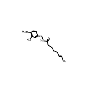 COc1ccc(CNC(=O)CCCC/C=C/C(C)C)cc1O